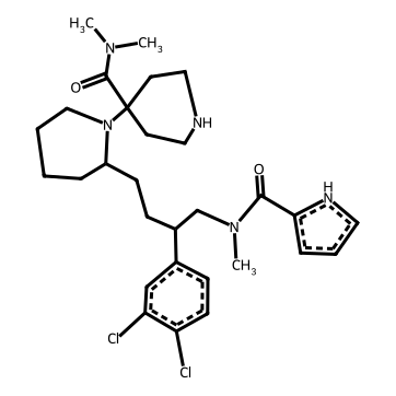 CN(C)C(=O)C1(N2CCCCC2CCC(CN(C)C(=O)c2ccc[nH]2)c2ccc(Cl)c(Cl)c2)CCNCC1